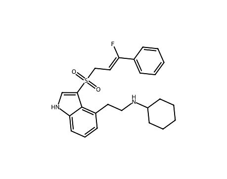 O=S(=O)(CC=C(F)c1ccccc1)c1c[nH]c2cccc(CCNC3CCCCC3)c12